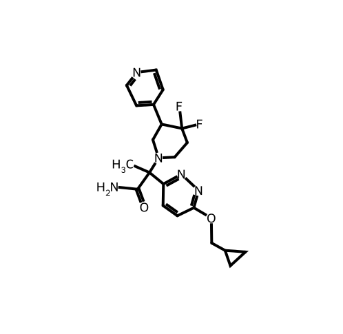 CC(C(N)=O)(c1ccc(OCC2CC2)nn1)N1CCC(F)(F)C(c2ccncc2)C1